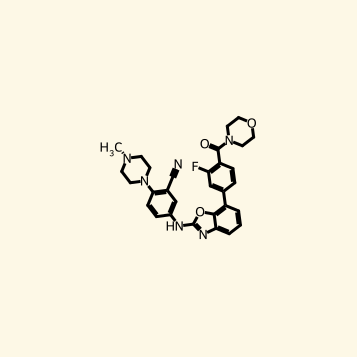 CN1CCN(c2ccc(Nc3nc4cccc(-c5ccc(C(=O)N6CCOCC6)c(F)c5)c4o3)cc2C#N)CC1